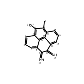 Cc1c(S)c2cccc3c(=N)c(=N)c4cccc1c4c23